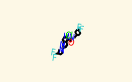 O=C(NCC1CCC(F)(F)CC1)c1c(Cl)ccc2nc(N3CCC(C(F)F)C3)ccc12